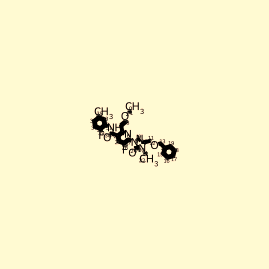 CCO/C=C/c1nc(-n2nc(COCc3ccccc3)n(CC)c2=O)c(F)cc1C(=O)Nc1cc(C)ccc1F